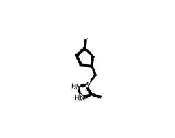 CC1CCC(CN2NNC2C)C1